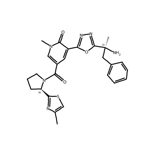 Cc1csc([C@H]2CCCN2C(=O)c2cc(-c3nnc([C@@](C)(N)Cc4ccccc4)o3)c(=O)n(C)c2)n1